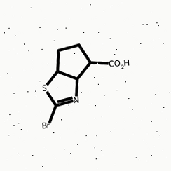 O=C(O)C1CCC2SC(Br)=NC21